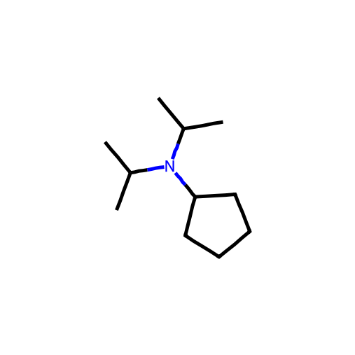 CC(C)N(C(C)C)C1CCCC1